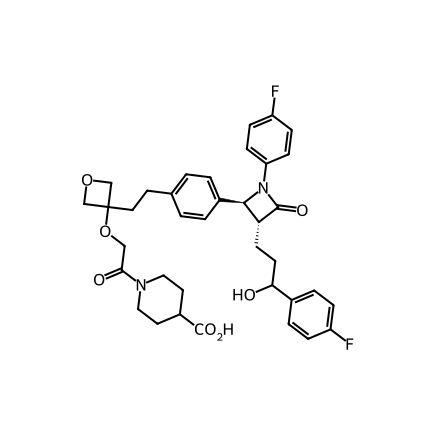 O=C(O)C1CCN(C(=O)COC2(CCc3ccc([C@@H]4[C@@H](CCC(O)c5ccc(F)cc5)C(=O)N4c4ccc(F)cc4)cc3)COC2)CC1